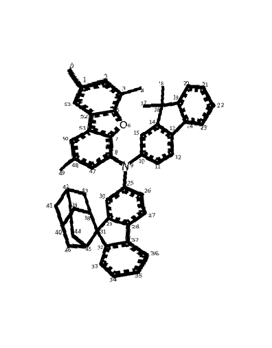 Cc1cc(C)c2oc3c(N(c4ccc5c(c4)C(C)(C)c4ccccc4-5)c4ccc5c(c4)C4(c6ccccc6-5)C5CC6CC(C5)CC4C6)cc(C)cc3c2c1